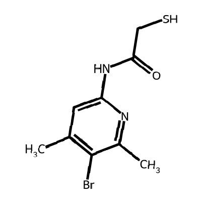 Cc1cc(NC(=O)CS)nc(C)c1Br